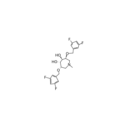 CN1C[C@H](OCc2cc(F)cc(F)c2)[C@H](O)[C@@H](O)[C@@H](OCc2cc(F)cc(F)c2)C1